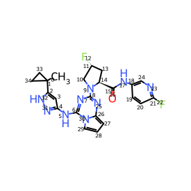 CC1(c2cc(Nc3nc(N4C[C@H](F)C[C@H]4C(=O)Nc4ccc(F)nc4)nc4cccn34)n[nH]2)CC1